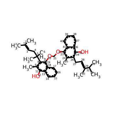 CC(C)=CCC(C)(C)c1c(C)c(O)c2ccccc2c1OCOc1c(C)c(C/C=C(\C)C(C)C)c(O)c2ccccc12